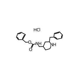 Cl.O=C(NCC1CCNC(Cc2ccccc2)C1)OCc1ccccc1